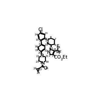 CCOC(=O)c1cnn(C2CCCN(c3cc(Cl)ccc3-c3ccc(N4CCN(C(=O)C5CC5)CC4)cc3)C2)c1C(F)F